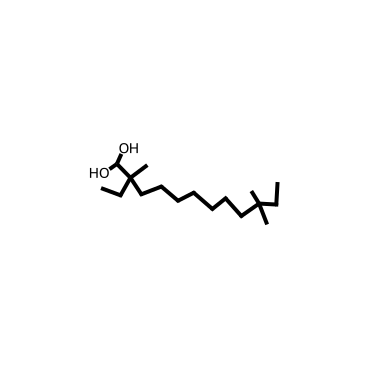 CCC(C)(C)CCCCCCCC(C)(CC)C(O)O